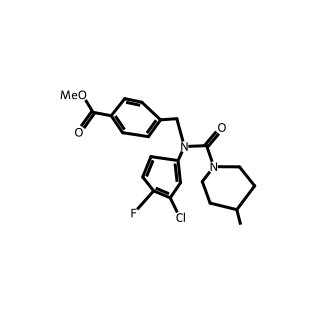 COC(=O)c1ccc(CN(C(=O)N2CCC(C)CC2)c2ccc(F)c(Cl)c2)cc1